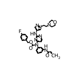 C=CC(=O)Nc1cccc(N(C(=O)OCc2ccc(F)cc2)c2ccnc(Nc3cnn(CCN4CCOCC4)c3)n2)c1